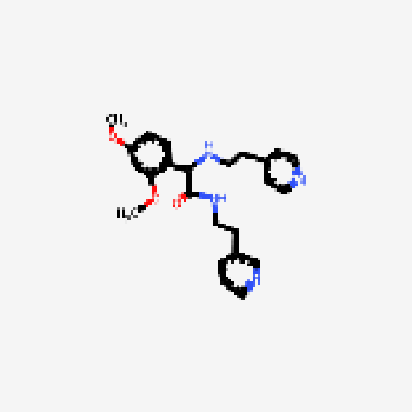 COc1ccc(C(NCCc2ccncc2)C(=O)NCCc2cccnc2)c(OC)c1